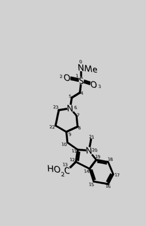 CNS(=O)(=O)CCN1CCC(Cc2c(C(=O)O)c3ccccc3n2C)CC1